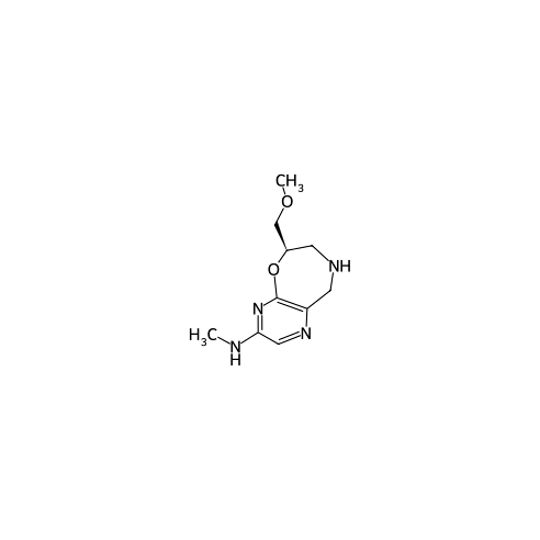 CNc1cnc2c(n1)O[C@@H](COC)CNC2